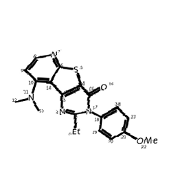 CCc1nc2c(sc3nccc(N(C)C)c32)c(=O)n1-c1ccc(OC)cc1